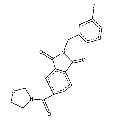 O=C(c1ccc2c(c1)C(=O)N(Cc1cccc(Cl)c1)C2=O)N1CCOC1